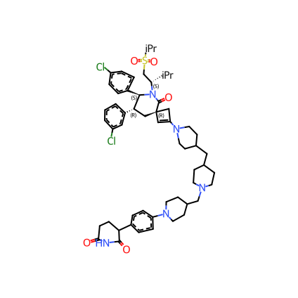 CC(C)[C@@H](CS(=O)(=O)C(C)C)N1C(=O)[C@]2(C=C(N3CCC(CC4CCN(CC5CCN(c6ccc(C7CCC(=O)NC7=O)cc6)CC5)CC4)CC3)C2)C[C@H](c2cccc(Cl)c2)[C@H]1c1ccc(Cl)cc1